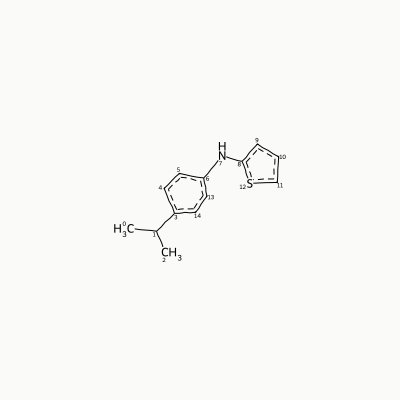 CC(C)c1ccc(Nc2cccs2)cc1